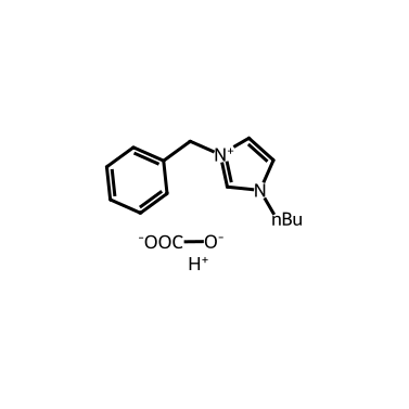 CCCCn1cc[n+](Cc2ccccc2)c1.O=C([O-])[O-].[H+]